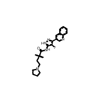 CC(C)(CCN1CCCC1)C(=O)Nc1[nH]nc(-c2cnc3ccccc3c2)c1F